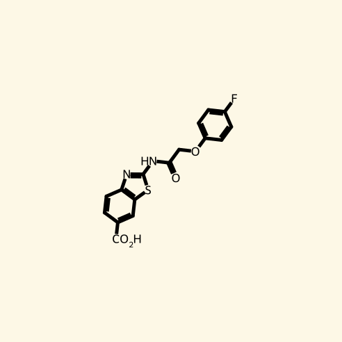 O=C(COc1ccc(F)cc1)Nc1nc2ccc(C(=O)O)cc2s1